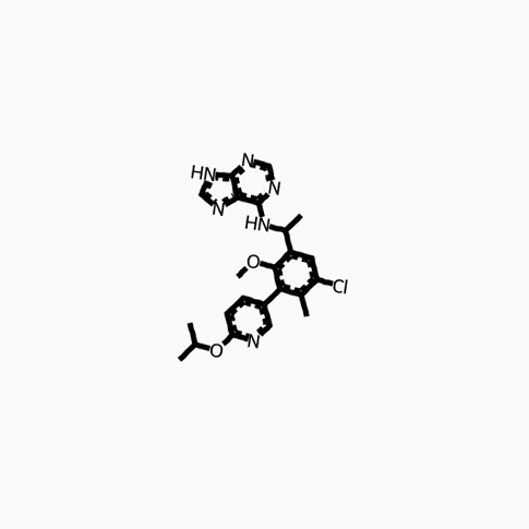 COc1c(C(C)Nc2ncnc3[nH]cnc23)cc(Cl)c(C)c1-c1ccc(OC(C)C)nc1